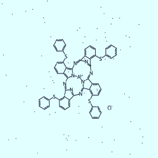 [Cl-].c1ccc(Sc2cccc3c2-c2nc-3nc3c4c(Sc5ccccc5)cccc4c4nc5nc(nc6c7c(Sc8ccccc8)cccc7c(n2)[n]6[Al+][n]43)-c2cccc(Sc3ccccc3)c2-5)cc1